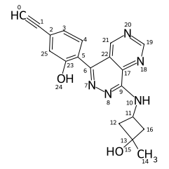 C#Cc1ccc(-c2nnc(NC3CC(C)(O)C3)c3ncncc23)c(O)c1